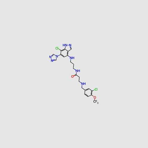 O=C(CCNCc1ccc(OC(F)(F)F)c(Cl)c1)NCCCNc1cc(-n2cnnc2)c(Cl)c2[nH]ncc12